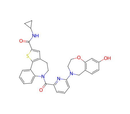 O=C(NC1CC1)c1cc2c(s1)-c1ccccc1N(C(=O)c1cccc(N3CCOc4cc(O)ccc4C3)n1)CC2